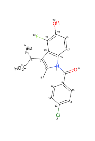 CC[C@@H](C)C(C(=O)O)c1c(C)n(C(=O)c2ccc(Cl)cc2)c2ccc(O)c(F)c12